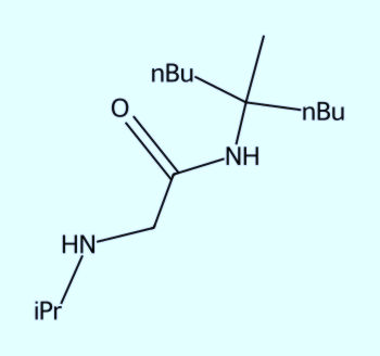 CCCCC(C)(CCCC)NC(=O)CNC(C)C